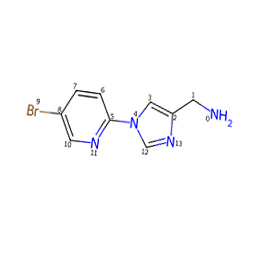 NCc1cn(-c2ccc(Br)cn2)cn1